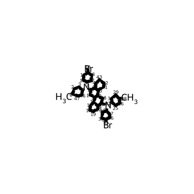 Cc1ccc(N(c2ccc(Br)cc2)c2cc3c4ccccc4c(N(c4ccc(C)cc4)c4ccc(Br)cc4)cc3c3ccccc23)cc1